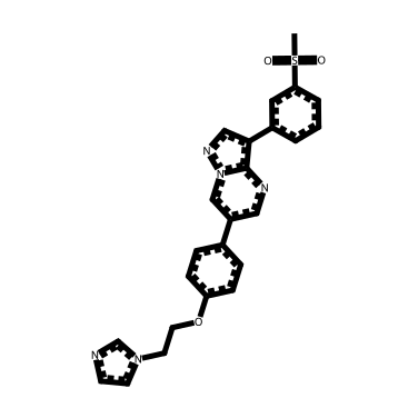 CS(=O)(=O)c1cccc(-c2cnn3cc(-c4ccc(OCCn5ccnc5)cc4)cnc23)c1